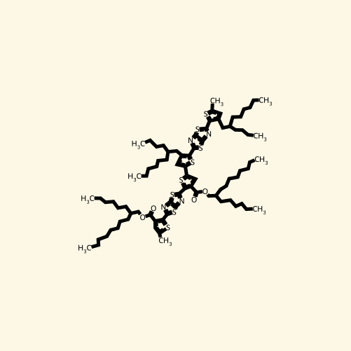 CCCCCCCCC(CCCCCC)COC(=O)c1cc(C)sc1-c1nc2sc(-c3sc(-c4cc(CC(CCCC)CCCCCC)c(-c5nc6sc(-c7sc(C)cc7CC(CCCC)CCCCCC)nc6s5)s4)cc3C(=O)OCC(CCCCCC)CCCCCCCC)nc2s1